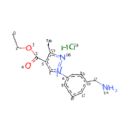 CCOC(=O)c1cn(-c2cccc(CN)c2)nc1C.Cl